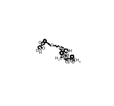 COc1cccc(C2(N3CCN(CCCCOCC#Cc4cccc5c4CN(C4CCC(=O)NC4=O)C5=O)CC3)CCNCC2)c1Nc1ncc(Cl)c(Nc2ccccc2P(C)(C)=O)n1